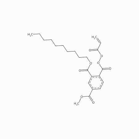 C=CC(=O)OOC(=O)c1ccc(C(=O)OC)cc1C(=O)OCCCCCCCCCC